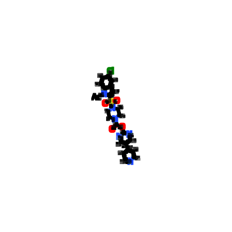 CC(=O)n1c(S(=O)(=O)N2CCN(C(=O)Oc3ncc(-c4ccncc4)cn3)CC2)cc2cc(Cl)ccc21